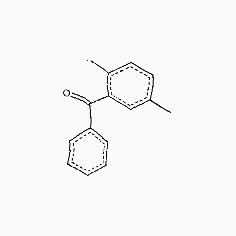 [CH2]c1ccc(C)cc1C(=O)c1ccccc1